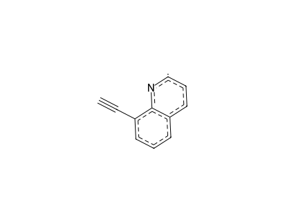 C#Cc1cccc2cc[c]nc12